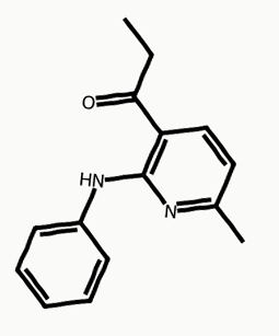 CCC(=O)c1ccc(C)nc1Nc1ccccc1